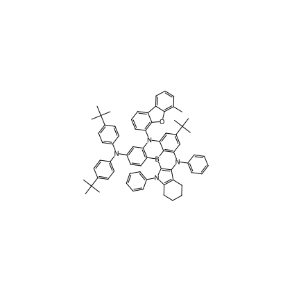 Cc1cccc2c1oc1c(N3c4cc(N(c5ccc(C(C)(C)C)cc5)c5ccc(C(C)(C)C)cc5)ccc4B4c5c(cc(C(C)(C)C)cc53)N(c3ccccc3)c3c5c(n(-c6ccccc6)c34)CCCC5)cccc12